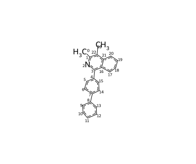 Cc1nc(-c2ccc(-c3ccccc3)cc2)c2ccccc2c1C